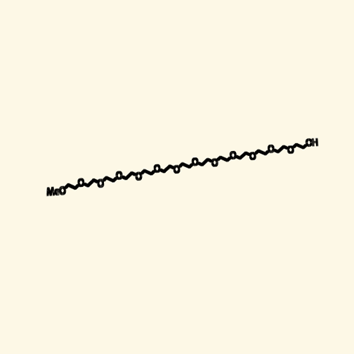 COCCOCCOCCOCCOCCOCCOCCOCCOCCOCCOCCOCCOCCO